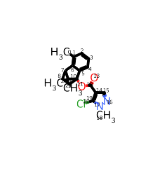 Cc1cccc2c1C1CCC2(OC(=O)c2cnn(C)c2Cl)C1(C)C